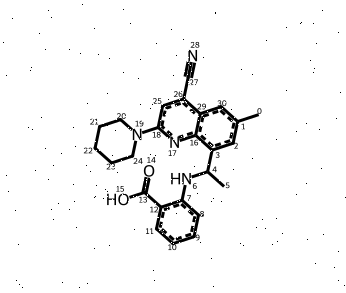 Cc1cc(C(C)Nc2ccccc2C(=O)O)c2nc(N3CCCCC3)cc(C#N)c2c1